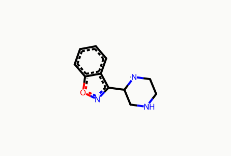 c1ccc2c(C3CNCC[N]3)noc2c1